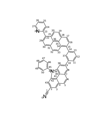 N#Cc1cc2ccc3cc(-c4cccc(-c5ccc6ccc7c(-c8ccccn8)ccc8ccc5c6c87)c4)cc4c3c2c(c1)n4-c1ccccc1